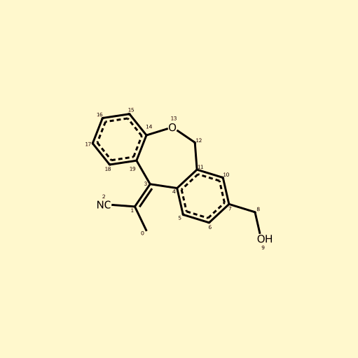 C/C(C#N)=C1\c2ccc(CO)cc2COc2ccccc21